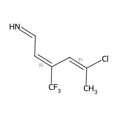 C/C(Cl)=C\C(=C/C=N)C(F)(F)F